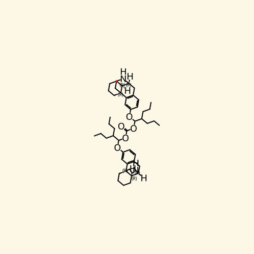 CCCC(CCC)C(OC(=O)OC(Oc1ccc2c(c1)[C@@]13CCCC[C@H]1[C@@H](C2)NCC3)C(CCC)CCC)Oc1ccc2c(c1)[C@@]13CCCC[C@H]1[C@@H](C2)NCC3